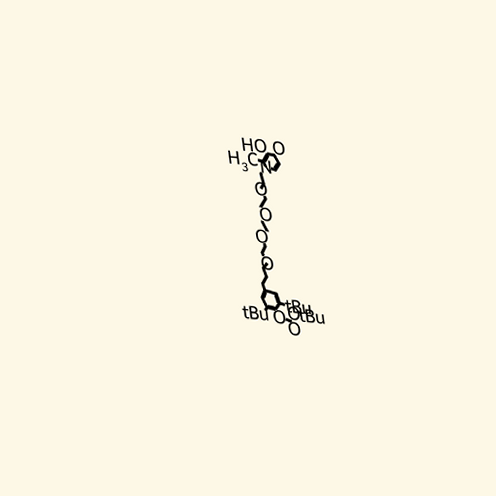 Cc1c(O)c(=O)ccn1CCOCCOCCOCCOCCCc1cc(C(C)(C)C)c(OC(=O)OC(C)(C)C)c(C(C)(C)C)c1